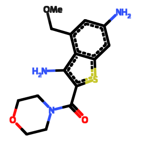 COCc1cc(N)cc2sc(C(=O)N3CCOCC3)c(N)c12